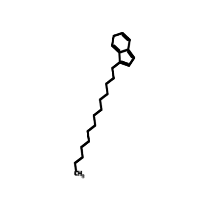 CCCCCCCCCCCCCCC1=CC=C2C=CCC=C21